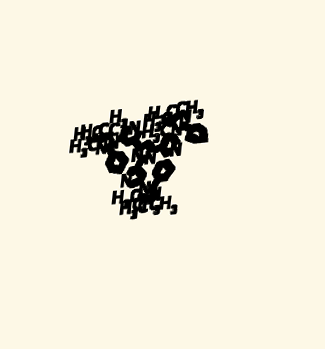 CC1(C)N=C(c2ccccc2)N(c2cncc(-c3cc(-c4cncc(N5C(c6ccccc6)=NC(C)(C)C5(C)C)c4)nc(-c4cncc(N5C(c6ccccc6)=NC(C)(C)C5(C)C)c4)n3)c2)C1(C)C